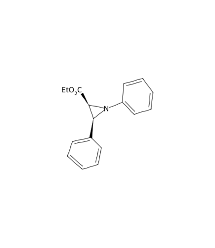 CCOC(=O)[C@@H]1[C@H](c2ccccc2)N1c1ccccc1